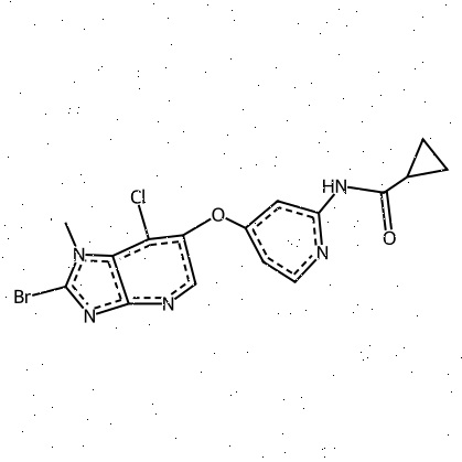 Cn1c(Br)nc2ncc(Oc3ccnc(NC(=O)C4CC4)c3)c(Cl)c21